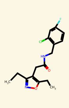 CCc1noc(CC)c1CC(=O)NCc1ccc(F)cc1Cl